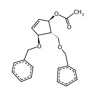 CC(=O)O[C@@H]1C=C[C@H](OCc2ccccc2)[C@H]1COCc1ccccc1